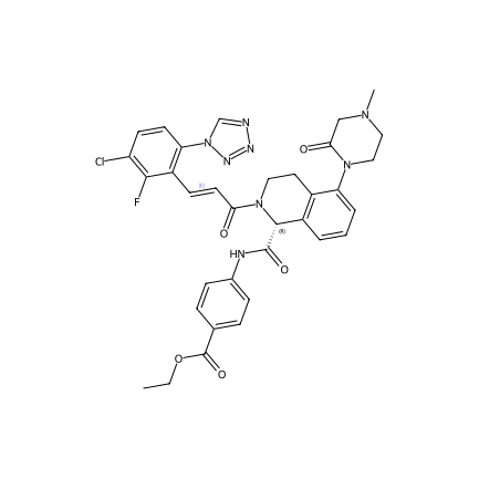 CCOC(=O)c1ccc(NC(=O)[C@H]2c3cccc(N4CCN(C)CC4=O)c3CCN2C(=O)/C=C/c2c(-n3cnnn3)ccc(Cl)c2F)cc1